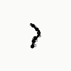 COc1ccc(OCc2ccc(CN3CCN(C(=O)/C=C/c4cc(C)c(Oc5ccc(OCc6ccccc6Cl)cn5)c(Cl)c4)CC3)cc2)cc1